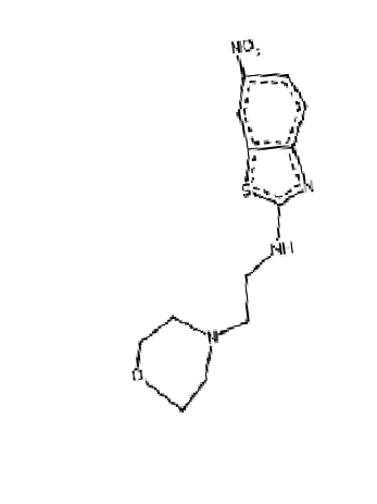 O=[N+]([O-])c1ccc2nc(NCCN3CCOCC3)sc2c1